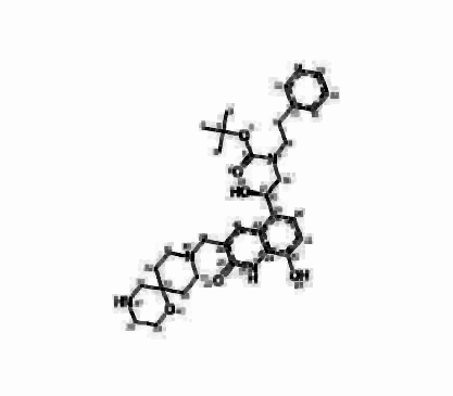 CC(C)(C)OC(=O)N(CCc1ccccc1)C[C@H](O)c1ccc(O)c2[nH]c(=O)c(CN3CCC4(CC3)CNCCO4)cc12